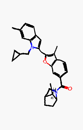 Cc1ccc2cc(-c3oc4cc(C(=O)N5CC6CCC5[C@@H]6C)ccc4c3C)n(CC3CC3)c2c1